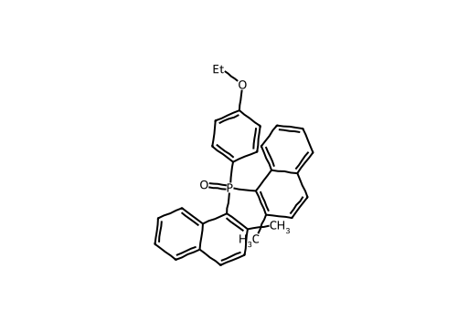 CCOc1ccc(P(=O)(c2c(C)ccc3ccccc23)c2c(C)ccc3ccccc23)cc1